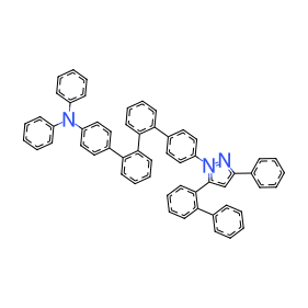 c1ccc(-c2cc(-c3ccccc3-c3ccccc3)n(-c3ccc(-c4ccccc4-c4ccccc4-c4ccc(N(c5ccccc5)c5ccccc5)cc4)cc3)n2)cc1